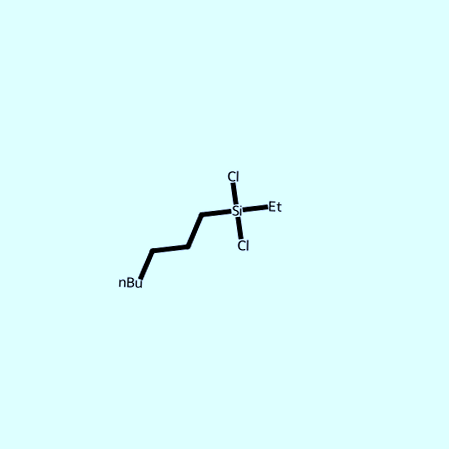 CCCCCCC[Si](Cl)(Cl)CC